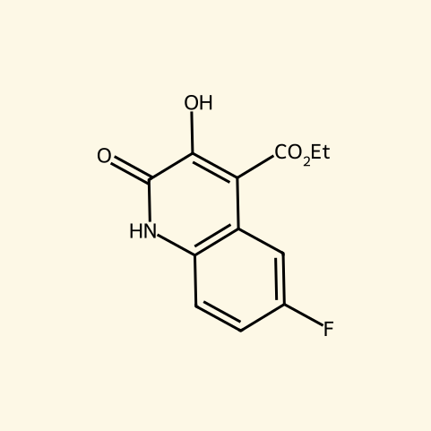 CCOC(=O)c1c(O)c(=O)[nH]c2ccc(F)cc12